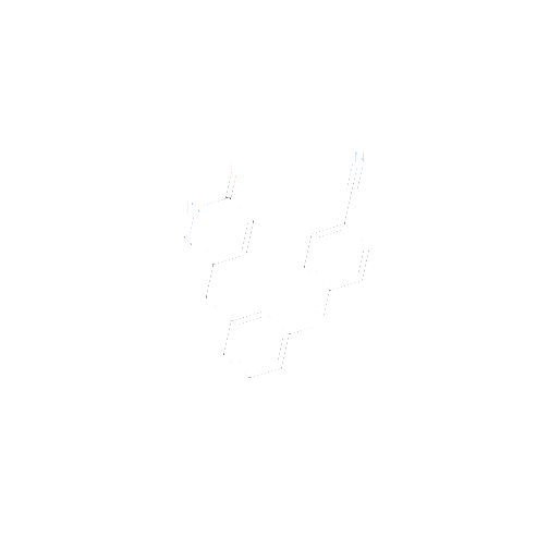 N#Cc1ccc(Oc2cc(Cc3ccc(=O)[nH]n3)ccc2Cl)cc1